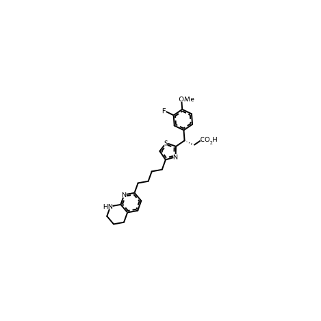 COc1ccc([C@H](CC(=O)O)c2nc(CCCCc3ccc4c(n3)NCCC4)cs2)cc1F